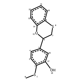 CSc1ccc(C2CSc3ccccc3O2)cc1O